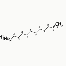 C=CCCCCCCCCCN=[N+]=[N-]